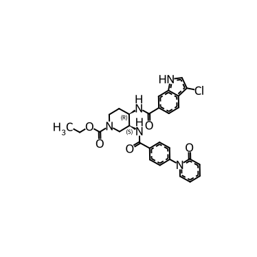 CCOC(=O)N1CC[C@@H](NC(=O)c2ccc3c(Cl)c[nH]c3c2)[C@@H](NC(=O)c2ccc(-n3ccccc3=O)cc2)C1